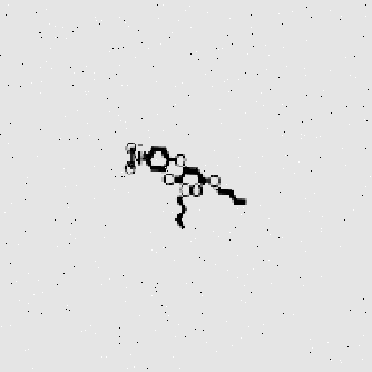 CCCCOC(=O)C=C(Oc1ccc([N+](=O)[O-])cc1)C(=O)OCCCC